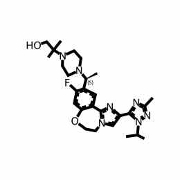 Cc1nc(-c2cn3c(n2)-c2cc([C@H](C)N4CCN(C(C)(C)CO)CC4)c(F)cc2OCC3)n(C(C)C)n1